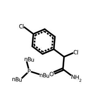 CCCCP(CCCC)CCCC.NC(=O)C(Cl)c1ccc(Cl)cc1